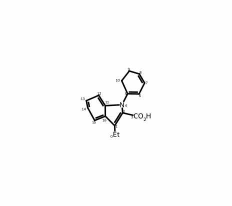 CCc1c(C(=O)O)n(C2=CC=CCC2)c2ccccc12